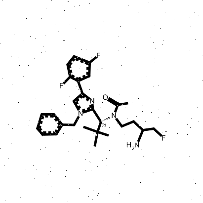 CC(=O)N(CCC(N)CF)[C@@H](c1nc(-c2cc(F)ccc2F)cn1Cc1ccccc1)C(C)(C)C